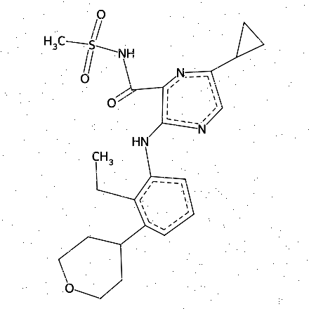 CCc1c(Nc2ncc(C3CC3)nc2C(=O)NS(C)(=O)=O)cccc1C1CCOCC1